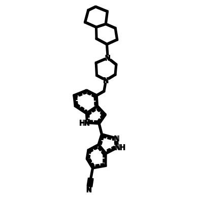 N#Cc1ccc2c(-c3cc4c(CN5CCN(C6CCC7CCCCC7C6)CC5)cccc4[nH]3)n[nH]c2c1